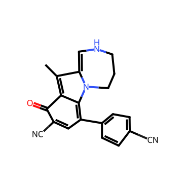 Cc1c2c(n3c1=CNCCC3)=C(c1ccc(C#N)cc1)C=C(C#N)C2=O